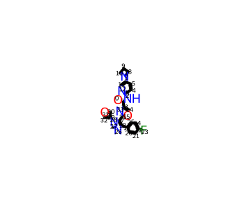 O=C(Nc1ccc(N2CCC2)cn1)c1coc(-c2c(-c3ccc(F)cc3)ncn2C2COC2)n1